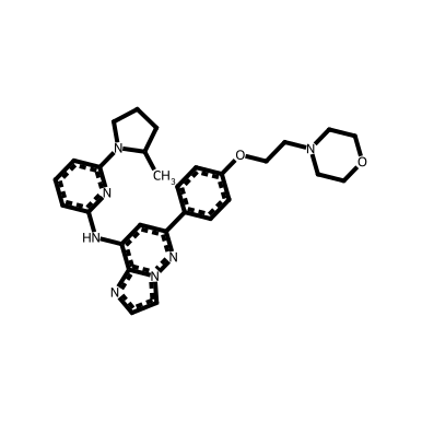 CC1CCCN1c1cccc(Nc2cc(-c3ccc(OCCN4CCOCC4)cc3)nn3ccnc23)n1